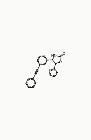 O=C1N[C@H](c2cccc(C#Cc3ccccc3)c2)C(c2cccs2)O1